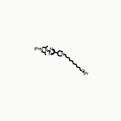 CC(C)OCCCCCCCCCCN1CCC(c2cnc(N3C(C)CN(C(C)C)CC3C)nc2)CC1